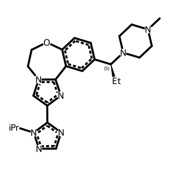 CC[C@@H](c1ccc2c(c1)-c1nc(-c3ncnn3C(C)C)cn1CCO2)N1CCN(C)CC1